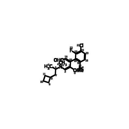 COC(=C/N(C)[C@H](C)CC1CCC1)/C(=C\C=O)c1c(C(C)=O)ccc(Cl)c1F